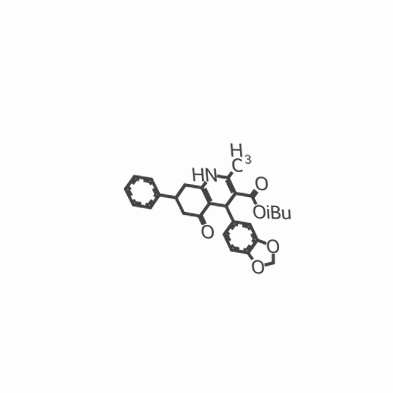 CC1=C(C(=O)OCC(C)C)C(c2ccc3c(c2)OCO3)C2=C(CC(c3ccccc3)CC2=O)N1